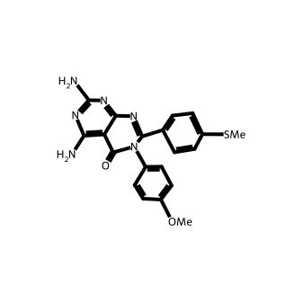 COc1ccc(-n2c(-c3ccc(SC)cc3)nc3nc(N)nc(N)c3c2=O)cc1